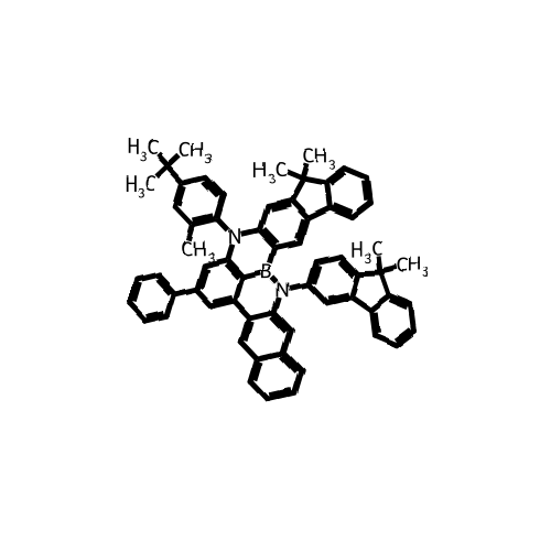 Cc1cc(C(C)(C)C)ccc1N1c2cc3c(cc2B2c4c(cc(-c5ccccc5)cc41)-c1cc4ccccc4cc1N2c1ccc2c(c1)-c1ccccc1C2(C)C)-c1ccccc1C3(C)C